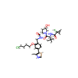 Cc1ncsc1-c1ccc(CNC(=O)[C@@H]2C[C@@H](O)CN2C(=O)[C@@H](NC(=O)C2(F)CC2)C(C)(C)C)c(OCCCCCl)c1